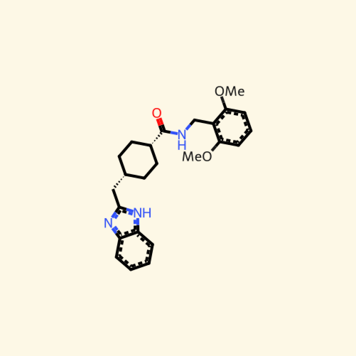 COc1cccc(OC)c1CNC(=O)[C@H]1CC[C@@H](Cc2nc3ccccc3[nH]2)CC1